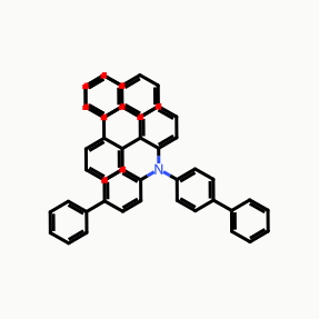 c1ccc(-c2ccc(N(c3ccc(-c4ccccc4)cc3)c3cccc(-c4ccccc4)c3-c3ccccc3-c3cccc4ccccc34)cc2)cc1